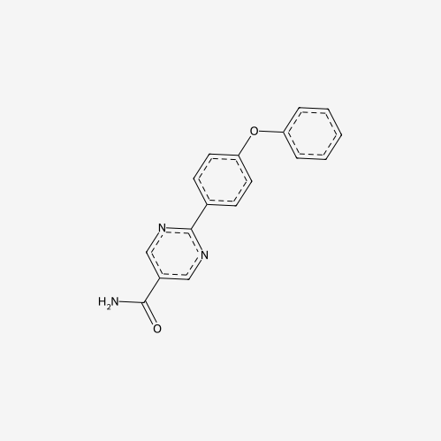 NC(=O)c1cnc(-c2ccc(Oc3ccccc3)cc2)nc1